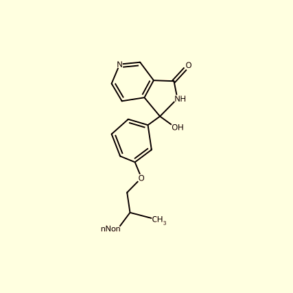 CCCCCCCCCC(C)COc1cccc(C2(O)NC(=O)c3cnccc32)c1